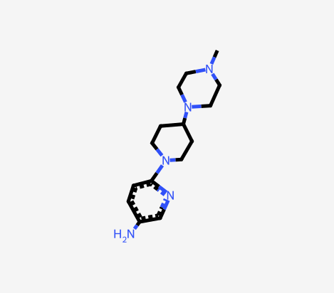 CN1CCN(C2CCN(c3ccc(N)cn3)CC2)CC1